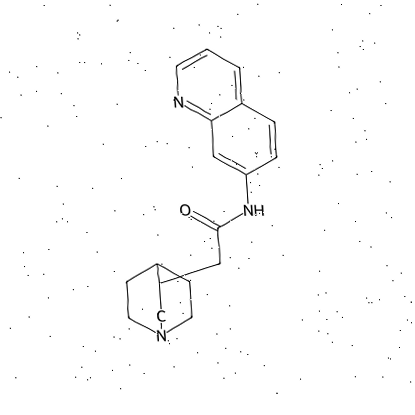 O=C(CC1CN2CCC1CC2)Nc1ccc2cccnc2c1